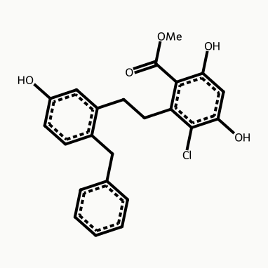 COC(=O)c1c(O)cc(O)c(Cl)c1CCc1cc(O)ccc1Cc1ccccc1